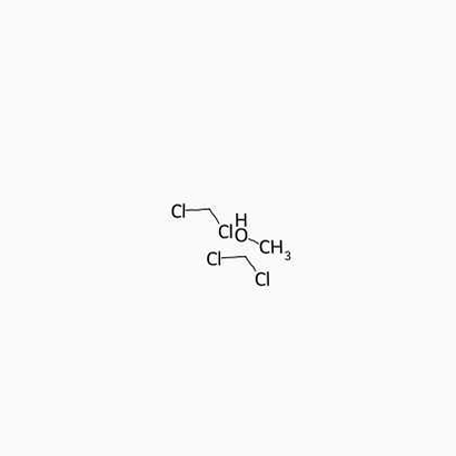 CO.ClCCl.ClCCl